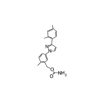 Cc1ccc(-c2ccn(-c3ccc(C)c(COC(N)=O)c3)n2)c(C)c1